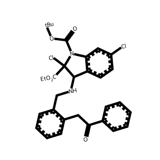 CCOC(=O)C1(Cl)C(NCc2ccccc2CC(=O)c2ccccc2)c2ccc(Cl)cc2N1C(=O)OC(C)(C)C